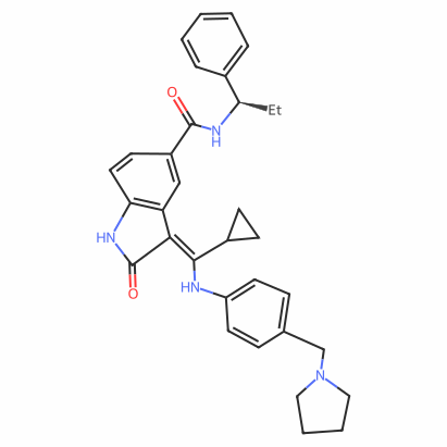 CC[C@@H](NC(=O)c1ccc2c(c1)/C(=C(/Nc1ccc(CN3CCCC3)cc1)C1CC1)C(=O)N2)c1ccccc1